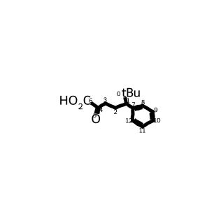 CC(C)(C)C(CCC(=O)C(=O)O)c1ccccc1